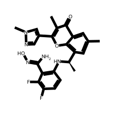 Cc1cc([C@@H](C)Nc2ccc(F)c(F)c2/C(N)=N/O)c2oc(-c3cnn(C)c3)c(C)c(=O)c2c1